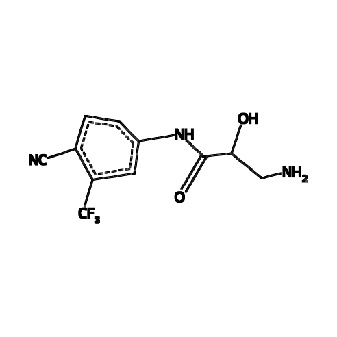 N#Cc1ccc(NC(=O)C(O)CN)cc1C(F)(F)F